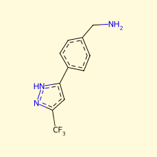 NCc1ccc(-c2cc(C(F)(F)F)n[nH]2)cc1